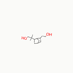 CC(C)(CO)C1CC2CC(CCO)C1C2